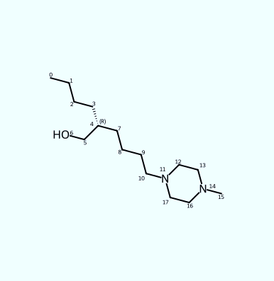 CCCC[C@@H](CO)CCCCN1CCN(C)CC1